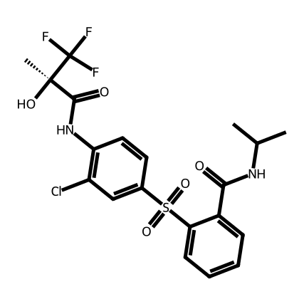 CC(C)NC(=O)c1ccccc1S(=O)(=O)c1ccc(NC(=O)[C@@](C)(O)C(F)(F)F)c(Cl)c1